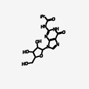 CC(C)C(=O)Nc1nc2c(ncn2C2OC(CO)C(O)C2O)c(=O)[nH]1